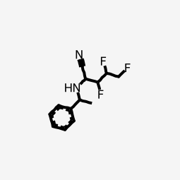 CC(NC(C#N)C(F)C(F)CF)c1ccccc1